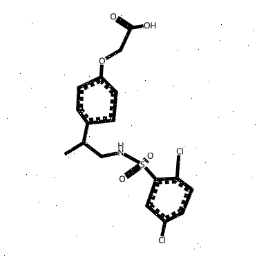 CC(CNS(=O)(=O)c1cc(Cl)ccc1Cl)c1ccc(OCC(=O)O)cc1